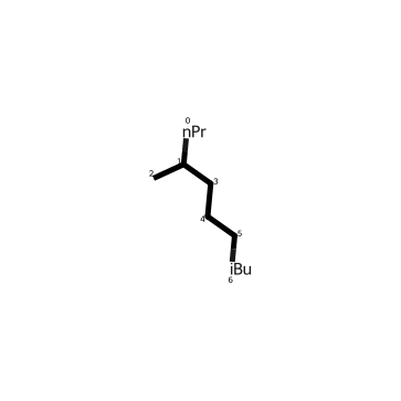 C[CH]CC(C)CCCC(C)CC